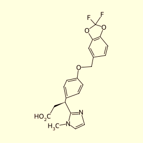 Cn1ccnc1[C@@H](CC(=O)O)c1ccc(OCc2ccc3c(c2)OC(F)(F)O3)cc1